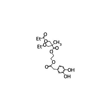 CCOCC(C)(COC(=O)CC)C(=O)OCCOC(=O)Cc1ccc(O)c(O)c1